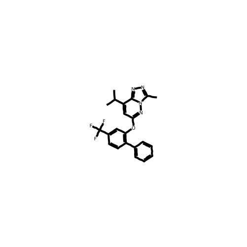 Cc1nnc2c(C(C)C)cc(Oc3cc(C(F)(F)F)ccc3-c3ccccc3)nn12